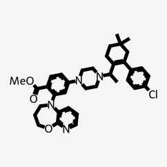 COC(=O)c1ccc(N2CCN(C(C)C3=C(c4ccc(Cl)cc4)CC(C)(C)CC3)CC2)cc1N1CCCOc2ncccc21